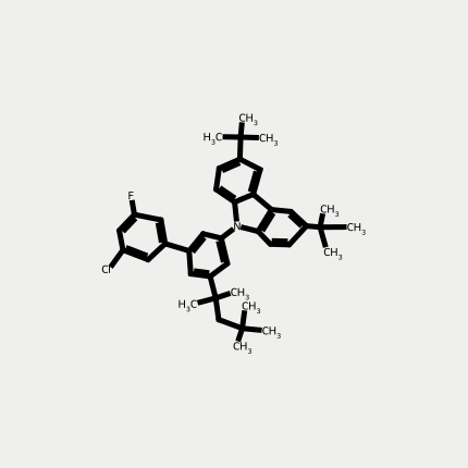 CC(C)(C)CC(C)(C)c1cc(-c2cc(F)cc(Cl)c2)cc(-n2c3ccc(C(C)(C)C)cc3c3cc(C(C)(C)C)ccc32)c1